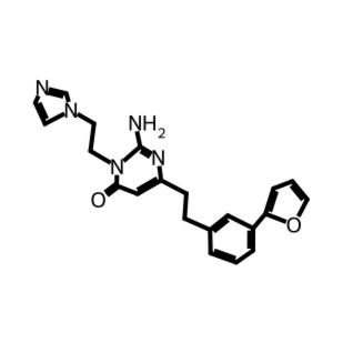 Nc1nc(CCc2cccc(-c3ccco3)c2)cc(=O)n1CCn1ccnc1